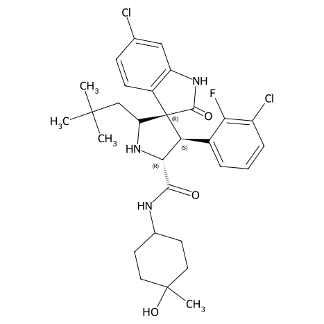 CC(C)(C)CC1N[C@@H](C(=O)NC2CCC(C)(O)CC2)[C@H](c2cccc(Cl)c2F)[C@]12C(=O)Nc1cc(Cl)ccc12